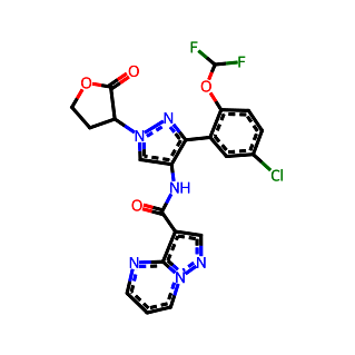 O=C(Nc1cn(C2CCOC2=O)nc1-c1cc(Cl)ccc1OC(F)F)c1cnn2cccnc12